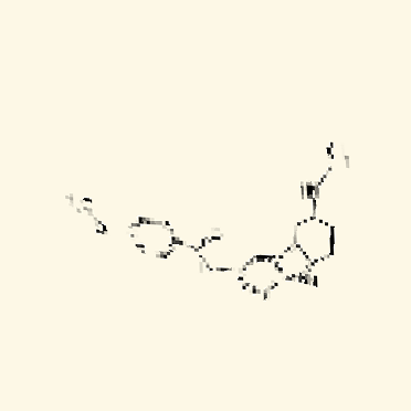 CCNC1CCc2[nH]c3ccc(NC(=O)c4ccc(OC)cc4)cc3c2C1